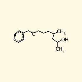 CC(O)CC(C)CCCOCc1ccccc1